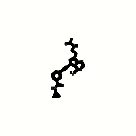 CC(=O)NCCn1cc(C#Cc2cccc(C(=O)NC3CC3)c2)c2c(N)ncnc21